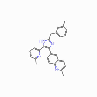 Cc1cccc(Cc2nc(-c3ccc4nc(C)ccc4c3)c(-c3cccc(C)n3)[nH]2)c1